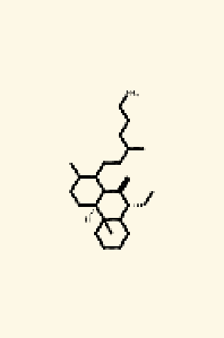 C=C1C2C(CCC(C)CCCN)C(C)CC[C@@H]2C2(C)CCCCC2[C@H]1CC